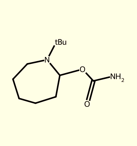 CC(C)(C)N1CCCCCC1OC(N)=O